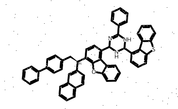 c1ccc(C2=NC(c3ccc([C@H](Cc4ccc(-c5ccccc5)cc4)c4ccc5ccccc5c4)c4oc5ccccc5c34)NC(c3cccc4sc5ccccc5c34)N2)cc1